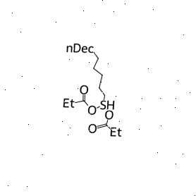 CCCCCCCCCCCCCCC[SH](OC(=O)CC)OC(=O)CC